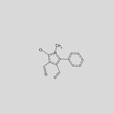 Cn1c(Cl)c(C=O)c(C=O)c1-c1ccccc1